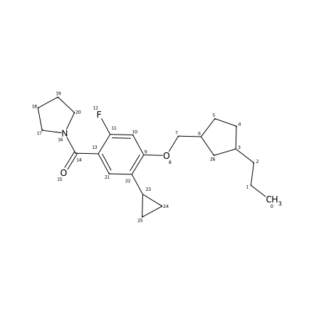 CCCC1CCC(COc2cc(F)c(C(=O)N3CCCC3)cc2C2CC2)C1